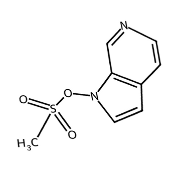 CS(=O)(=O)On1ccc2ccncc21